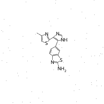 Cc1csc(-c2nc[nH]c2-c2ccc3nc(N)sc3c2)n1